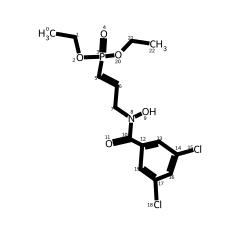 CCOP(=O)(/C=C/CN(O)C(=O)c1cc(Cl)cc(Cl)c1)OCC